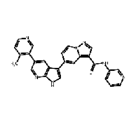 Cc1ccncc1-c1cnc2[nH]cc(-c3ccn4ncc(C(=O)Nc5cccnc5)c4c3)c2c1